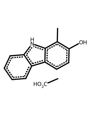 CC(=O)O.Cc1c(O)ccc2c1[nH]c1ccccc12